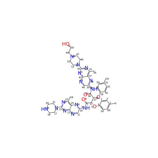 Cc1ccc(OC(C(=O)Nc2cnc3nc(N4CCNCC4)nc(C)c3n2)C(Oc2ccc(C)cc2)C(=O)Nc2cnc3nc(N4CCN(CCO)CC4)nc(C)c3n2)cc1